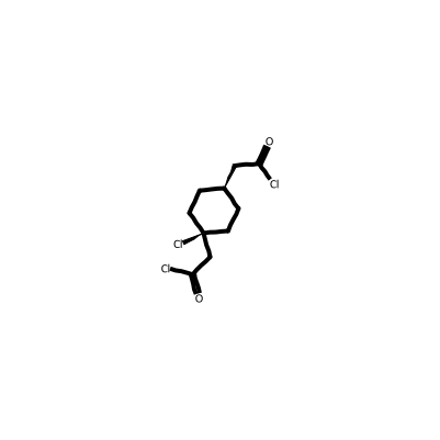 O=C(Cl)C[C@H]1CC[C@](Cl)(CC(=O)Cl)CC1